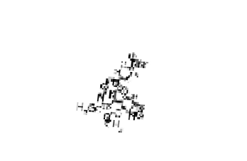 COC(=O)C1=C(OC)N=C(OC)N(C(=O)Oc2ccc([N+](=O)[O-])cc2)C1c1ccc2nonc2c1